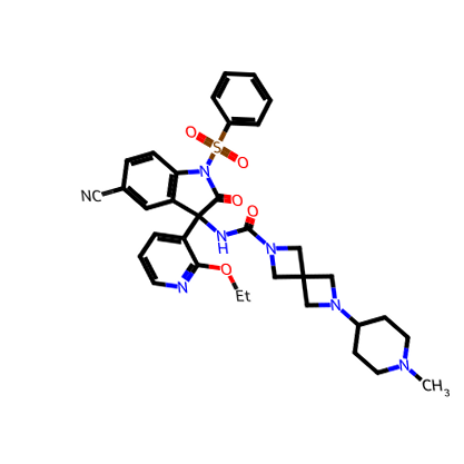 CCOc1ncccc1C1(NC(=O)N2CC3(C2)CN(C2CCN(C)CC2)C3)C(=O)N(S(=O)(=O)c2ccccc2)c2ccc(C#N)cc21